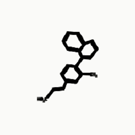 Cc1cc(C=CC(=O)O)ccc1-c1cccc2ccccc12